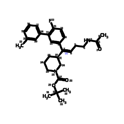 CC(=O)NCC/C=C(\c1ccc(F)c(-c2cccc(C)c2)c1)[C@@H]1CCCN(C(=O)OC(C)(C)C)C1